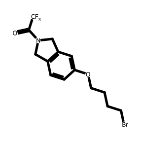 O=C(N1Cc2ccc(OCCCCBr)cc2C1)C(F)(F)F